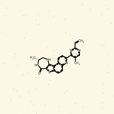 C=Cc1ncc(C)c(-c2ccc3c(ccc4sc5c(c43)NC[C@@H](C)NC5=O)n2)n1